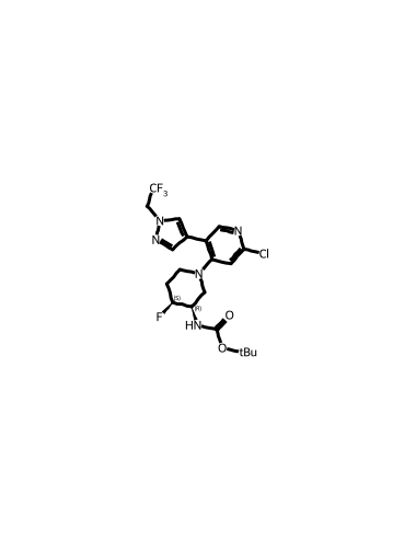 CC(C)(C)OC(=O)N[C@@H]1CN(c2cc(Cl)ncc2-c2cnn(CC(F)(F)F)c2)CC[C@@H]1F